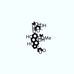 COC(C)(C)O[C@@H]1C[C@H](O[C@@H]2O[C@@H](C)[C@H](O)[C@H]3OC(C)(C)O[C@@H]23)C[C@@]2(O)CCC3C([C@H](O)C[C@]4(C)[C@@H](C5=CC(=O)OC5)CC[C@]34O)[C@@]12C